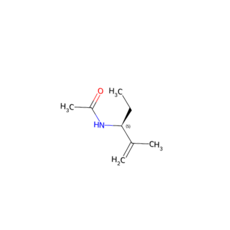 C=C(C)[C@H](CC)NC(C)=O